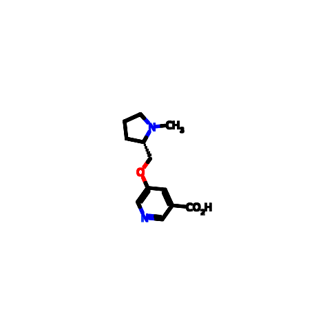 CN1CCC[C@H]1COc1cncc(C(=O)O)c1